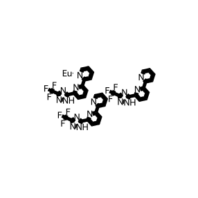 FC(F)(F)c1n[nH]c(-c2cccc(-c3ccccn3)n2)n1.FC(F)(F)c1n[nH]c(-c2cccc(-c3ccccn3)n2)n1.FC(F)(F)c1n[nH]c(-c2cccc(-c3ccccn3)n2)n1.[Eu]